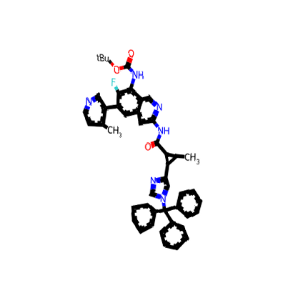 Cc1ccncc1-c1cc2cc(NC(=O)C3C(C)C3c3cn(C(c4ccccc4)(c4ccccc4)c4ccccc4)cn3)ncc2c(NC(=O)OC(C)(C)C)c1F